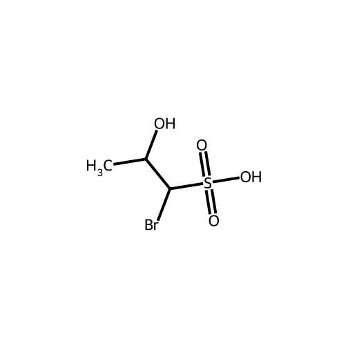 CC(O)C(Br)S(=O)(=O)O